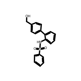 O=S(=O)(Nc1ccccc1-c1ccc(CO)cc1)c1ccccc1